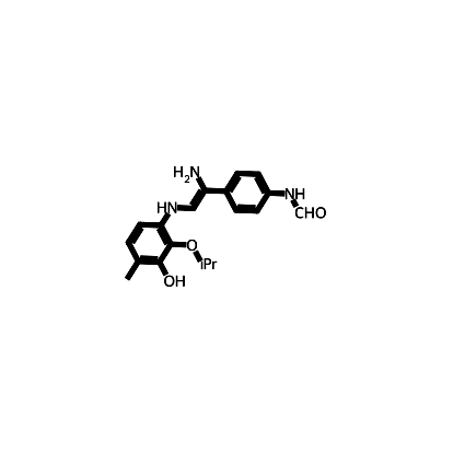 Cc1ccc(N/C=C(\N)c2ccc(NC=O)cc2)c(OC(C)C)c1O